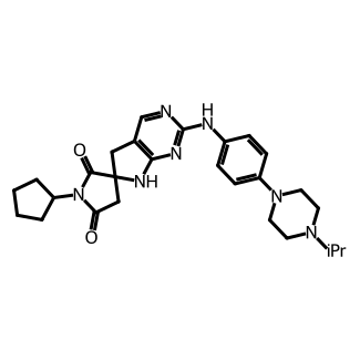 CC(C)N1CCN(c2ccc(Nc3ncc4c(n3)NC3(CC(=O)N(C5CCCC5)C3=O)C4)cc2)CC1